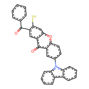 O=C(c1ccccc1)c1cc2c(=O)c3cc(-n4c5ccccc5c5ccccc54)ccc3oc2cc1S